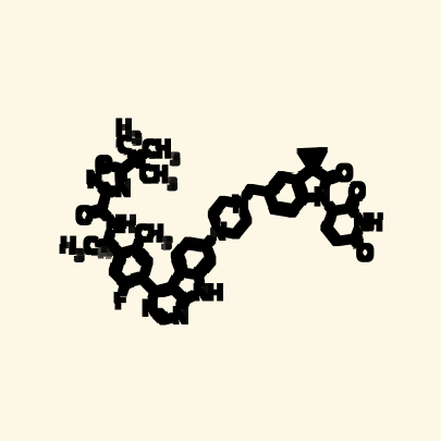 Cc1cc(-c2ncnc3[nH]c4cc(N5CCN(Cc6ccc7c(c6)C6(CC6)C(=O)N7C6CCC(=O)NC6=O)CC5)ccc4c23)c(F)cc1[C@@H](C)NC(=O)c1noc(C(C)(C)C)n1